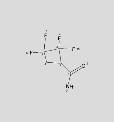 [NH]C(=O)C1CC(F)(F)C1(F)F